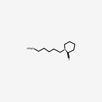 CCCCCCCCCCCCN1CCCCC1=S